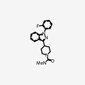 CNC(=O)N1CCC(c2nn(-c3ccccc3F)c3ccccc23)CC1